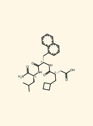 CC(C)C[C@H](NC(=O)[C@H](Cc1cccc2ccccc12)NC(=O)[C@H](CC(=O)O)CC1CCC1)C(N)=O